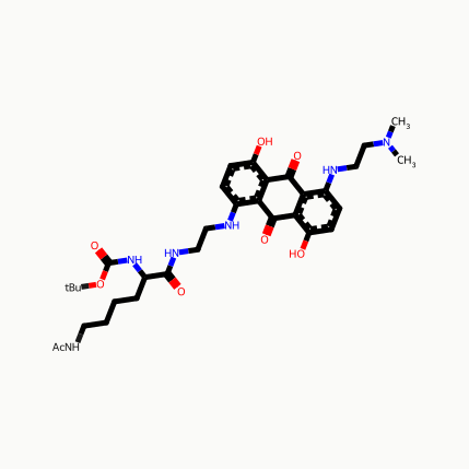 CC(=O)NCCCCC(NC(=O)OC(C)(C)C)C(=O)NCCNc1ccc(O)c2c1C(=O)c1c(O)ccc(NCCN(C)C)c1C2=O